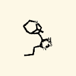 CCCc1nsnc1C1CN2CCCC1C2C